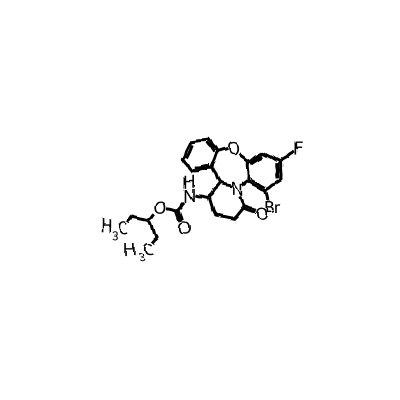 CCC(CC)OC(=O)NC1CCC(=O)N2c3c(Br)cc(F)cc3Oc3ccccc3C12